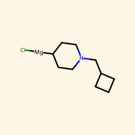 [Cl][Mg][CH]1CCN(CC2CCC2)CC1